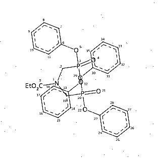 CCOC(=O)N(CP(=O)(Oc1ccccc1)Oc1ccccc1)CP(=O)(Oc1ccccc1)Oc1ccccc1